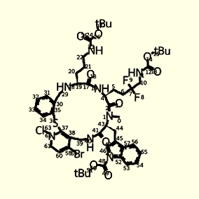 CN1C(=O)[C@H](CCC(F)(F)CNC(=O)OC(C)(C)C)NC(=O)[C@H](CCCNC(=O)OC(C)(C)C)NCc2ccccc2SC2=C(CNC(=O)[C@@H]1Cc1cn(C(=O)OC(C)(C)C)c3ccccc13)C(Br)=CCN2Cl